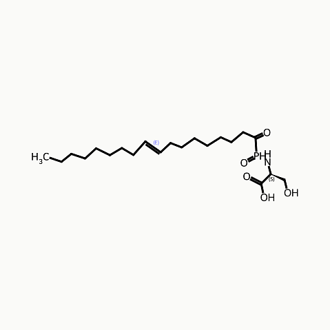 CCCCCCCC/C=C/CCCCCCCC(=O)[PH](=O)N[C@@H](CO)C(=O)O